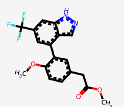 COC(=O)Cc1ccc(OC)c(-c2cc(C(F)(F)F)cc3[nH]ncc23)c1